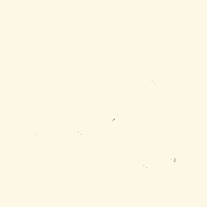 Cc1ccc(N2CCC[C@H](N(Cc3ccnc(NC(=O)O)c3)Cc3cn4c5c(c(F)c(F)cc5c3=O)OCC4C)C2)cn1